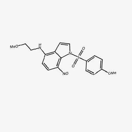 COCCNc1ccc(N=O)c2c1ccn2S(=O)(=O)c1ccc(OC)cc1